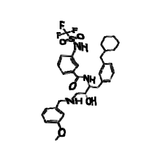 COc1cccc(CNC[C@@H](O)C(Cc2cccc(CC3CCCCC3)c2)NC(=O)c2cccc(NS(=O)(=O)C(F)(F)F)c2)c1